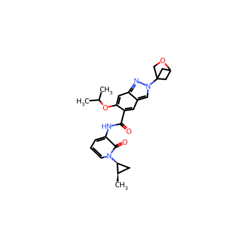 CC(C)Oc1cc2nn(C34COC(C3)C4)cc2cc1C(=O)Nc1cccn([C@H]2C[C@H]2C)c1=O